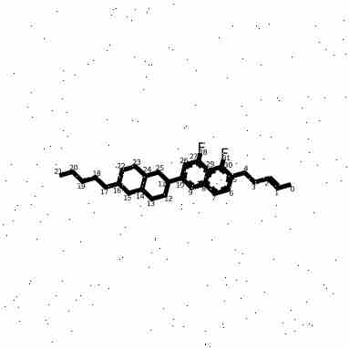 CC=CCCc1ccc2cc(C3CCC4CC(CCCCC)CCC4C3)cc(F)c2c1F